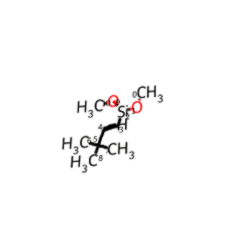 CO[SiH](C=CC(C)(C)C)OC